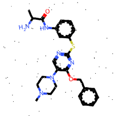 CC(N)C(=O)Nc1cccc(Sc2ncc(N3CCN(C)CC3)c(OCc3ccccc3)n2)c1